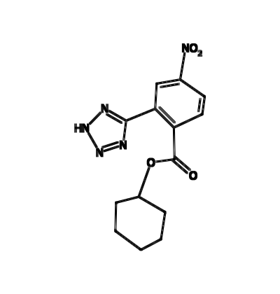 O=C(OC1CCCCC1)c1ccc([N+](=O)[O-])cc1-c1nn[nH]n1